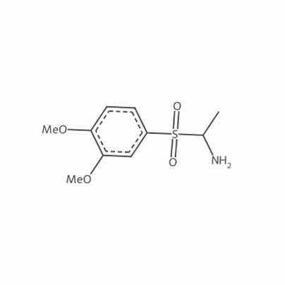 COc1ccc(S(=O)(=O)C(C)N)cc1OC